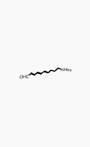 CCCCCCCCC/C=C/C=C/C=C/[C]=O